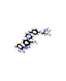 Cc1cc(NC2CCC(=O)NC2=O)ccc1N1CCN(CC2CCC(OC[C@@H](C)N)CC2)CC1